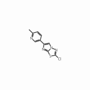 Cc1ccc(-c2cn3nc(Cl)sc3n2)cn1